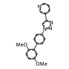 COc1ccc(OC)c(-c2ccc(-n3cc(-c4cccnc4)nn3)cc2)c1